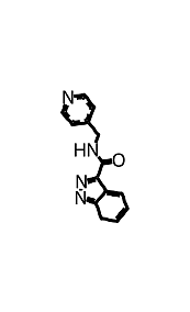 O=C(NCc1ccncc1)C1=NN=C2CC=CC=C21